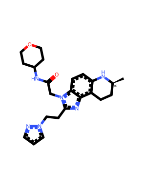 C[C@H]1CCc2c(ccc3c2nc(CCn2cccn2)n3CC(=O)NC2CCOCC2)N1